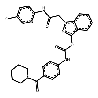 O=C(Cn1nc(OC(=O)Nc2ccc(C(=O)N3CCCCC3)cc2)c2ccccc21)Nc1ccc(Cl)cn1